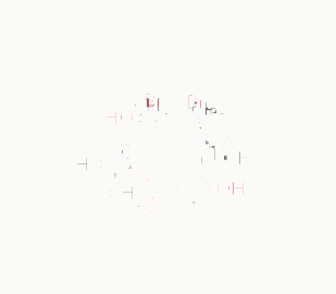 C=C(C)[C@@H]1CC[C@](C)(O)[C@H](Br)CC[C@@]2(C)[C@H](Cc3cc(ccc3O)C(=O)O1)C(C)=CC[C@@H]2Br